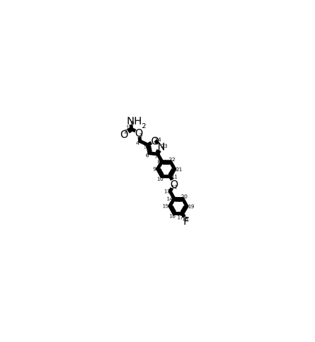 NC(=O)OCc1cc(-c2ccc(OCc3ccc(F)cc3)cc2)no1